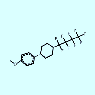 COc1ccc([C@H]2CC[C@H](C(F)(F)C(F)(F)C(F)(F)C(F)(F)F)CC2)cc1